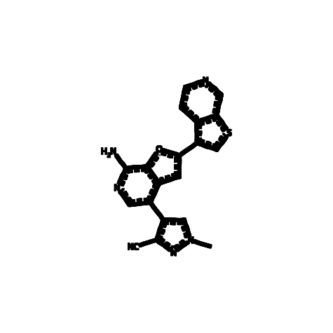 Cn1cc(-c2cnc(N)c3oc(-c4csc5cnccc45)cc23)c(C#N)n1